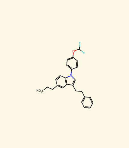 O=C(O)CCc1ccc2c(c1)c(CCc1ccccc1)cn2-c1ccc(OC(F)F)cc1